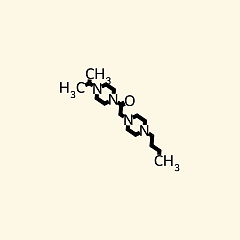 CCCCN1CCN(CC(=O)N2CCN(C(C)C)CC2)CC1